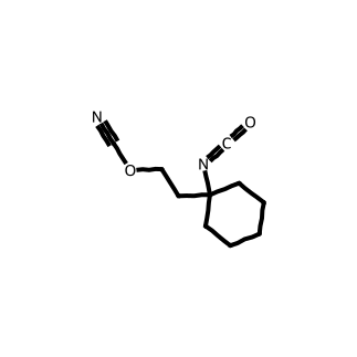 N#COCCC1(N=C=O)CCCCC1